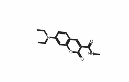 CCN(CC)c1ccc2cc(C(=O)NC)c(=O)oc2c1